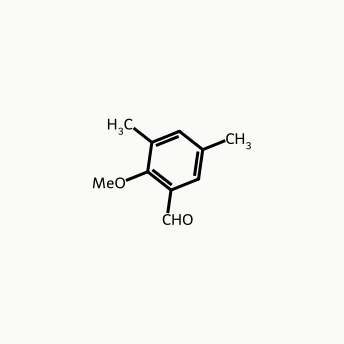 COc1c(C)cc(C)cc1C=O